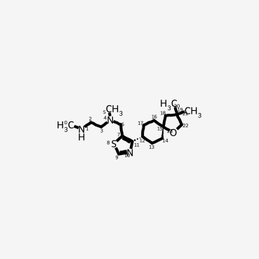 CNCCN(C)Cc1scnc1[C@H]1CC[C@@]2(CC1)CC(C)(C)CO2